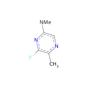 CNc1cnc(C)c(F)n1